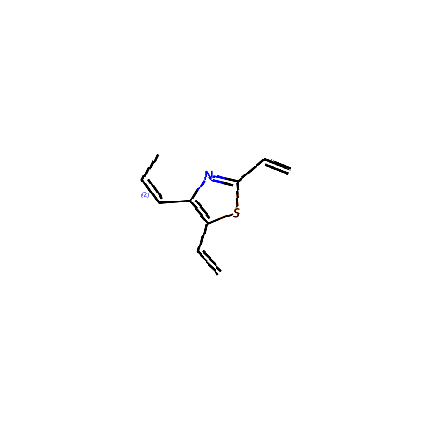 C=Cc1nc(/C=C\C)c(C=C)s1